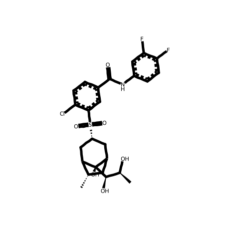 C[C@H](O)[C@@H](O)[C@@]1(O)C2C[C@@H](S(=O)(=O)c3cc(C(=O)Nc4ccc(F)c(F)c4)ccc3Cl)CC1[C@@H](C)C2